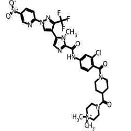 Cn1c(-c2cn(-c3ccc([N+](=O)[O-])cn3)nc2C(F)(F)F)cnc1C(=O)Nc1ccc(C(=O)N2CCC(C(=O)N3CC[N+](C)(C)CC3)CC2)c(Cl)c1